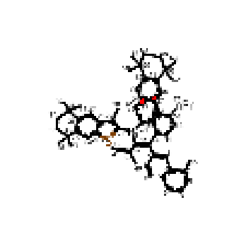 C=CC(=C\c1ccccc1C)/C(=C(B(c1ccc(C)cc1)c1sc2cc3c(cc2c1C)C(C)(C)CCC3(C)C)\C(C)=C/C)c1ccc(CCC)c(-c2cc3c(cc2C)C(C)(C)CCC3(C)C)c1